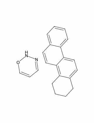 C1=CONN=C1.c1ccc2c(c1)ccc1c3c(ccc12)CCCC3